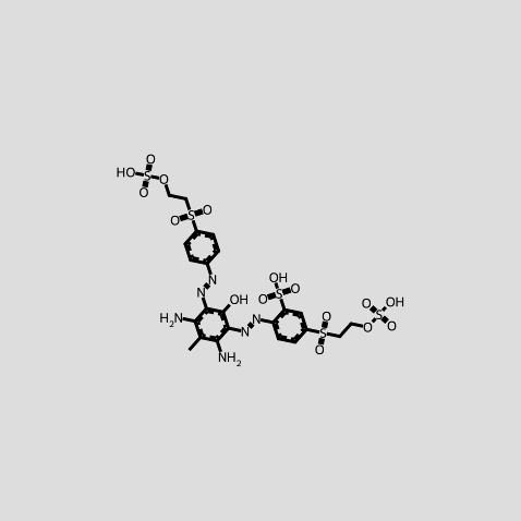 Cc1c(N)c(/N=N/c2ccc(S(=O)(=O)CCOS(=O)(=O)O)cc2)c(O)c(/N=N/c2ccc(S(=O)(=O)CCOS(=O)(=O)O)cc2S(=O)(=O)O)c1N